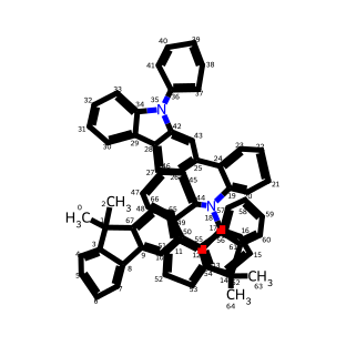 CC1(C)c2ccccc2-c2cc(-c3ccccc3N(c3ccccc3-c3ccc4c5ccccc5n(-c5ccccc5)c4c3)c3ccccc3-c3cccc4c3-c3ccccc3C4(C)C)ccc21